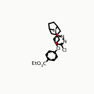 CCOC(=O)c1ccc(OCCC2CC3CCC(C2)N3c2ccc(Cl)nn2)cc1